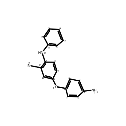 Nc1ccc(Oc2ccc(Nc3ccccc3)c(Br)c2)cc1